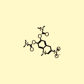 CN(C)C(=O)Oc1cc2c(cc1OC(=O)N(C)C)N(C)C=C([N+](=O)[O-])C2